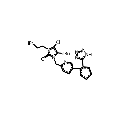 CCCCc1c(Cl)n(CCC(C)C)c(=O)n1Cc1ccc(-c2ccccc2-c2nnn[nH]2)cn1